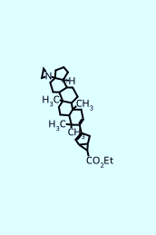 CCOC(=O)C1C2C=C(C3=CCC4(C)C(CCC5(C)C6CCC7(N8CC8)CCC[C@@H]7C6CCC54)C3(C)C)CC21